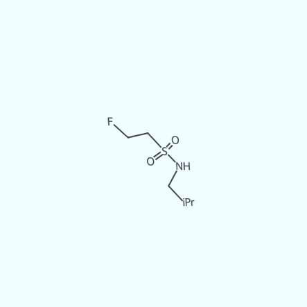 CC(C)CNS(=O)(=O)CCF